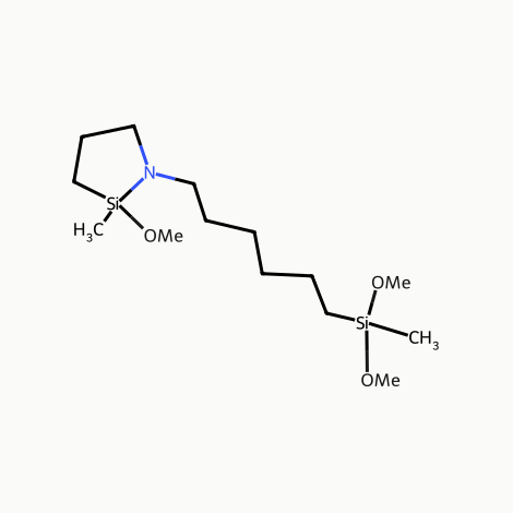 CO[Si](C)(CCCCCCN1CCC[Si]1(C)OC)OC